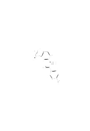 O=C(Nc1ccc2c(c1)B(O)OC2)c1ccc(Cl)cc1